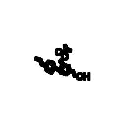 C=C(C)C(=O)OCc1cc(CCO)ccc1-c1ccc(CCC)cc1